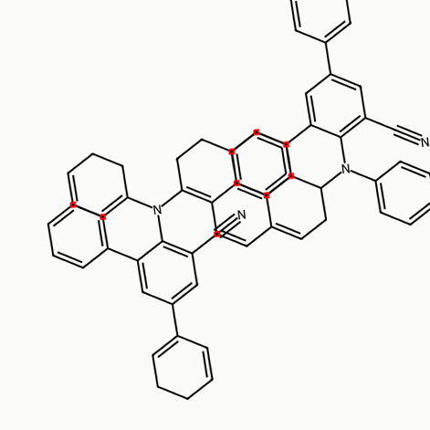 N#Cc1cc(C2=CCCC=C2)cc(-c2ccccc2)c1N(C1=CC=CCC1)C1=c2ccc3c4c2C(CC=C4C(N(c2ccccc2)c2c(C#N)cc(-c4ccccc4)cc2-c2ccccc2)CC=3)CC1